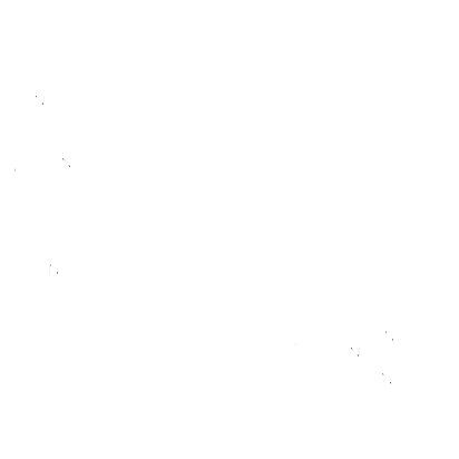 CC(C)(c1ccc(OCc2ccnc(N3CC4(COC4)C3)n2)cc1)c1ccc(OC[C@@H]2CCCN2c2ccc3c(c2)C(=O)N(C2CCC(=O)NC2=O)C3=O)cc1